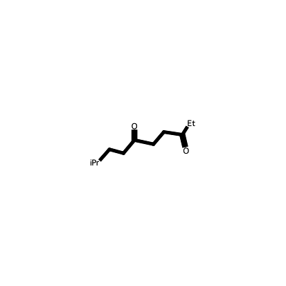 CCC(=O)CCC(=O)CCC(C)C